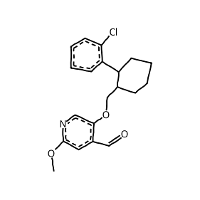 COc1cc(C=O)c(OCC2CCCCC2c2ccccc2Cl)cn1